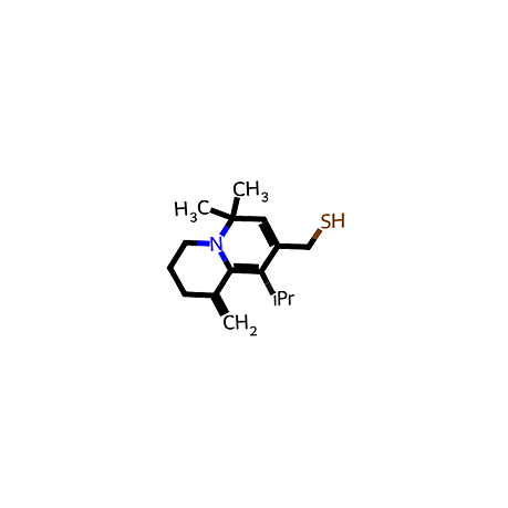 C=C1CCCN2C1=C(C(C)C)C(CS)=CC2(C)C